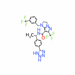 CC(NC(=O)c1c(C(F)(F)F)nn2c1N(Cc1cccc(C(F)(F)F)c1)CC2)c1ccc(C2N=NNN2)cc1